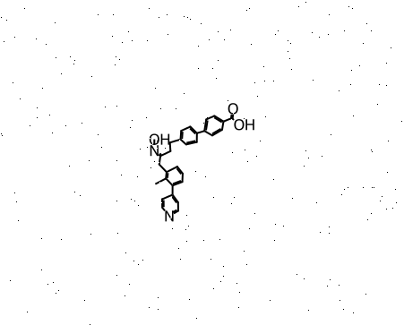 Cc1c(C/C(CCc2ccc(-c3ccc(C(=O)O)cc3)cc2)=N/O)cccc1-c1ccncc1